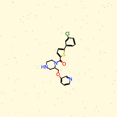 O=C(c1ccc(-c2cccc(Cl)c2)s1)N1CCNCC1COc1cccnc1